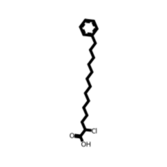 O=C(O)C(Cl)CCCCCCCCCCCCc1ccccc1